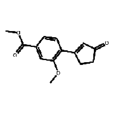 COC(=O)c1ccc(C2=CC(=O)CC2)c(OC)c1